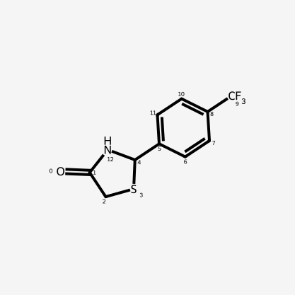 O=C1CSC(c2ccc(C(F)(F)F)cc2)N1